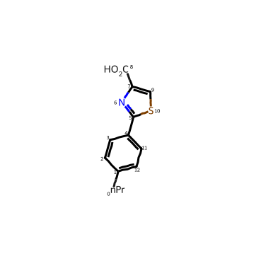 CCCc1ccc(-c2nc(C(=O)O)cs2)cc1